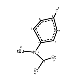 CCC(CC)N(c1ccc(F)cc1)C(C)(C)C